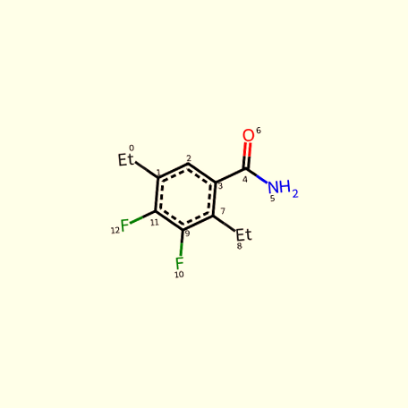 CCc1cc(C(N)=O)c(CC)c(F)c1F